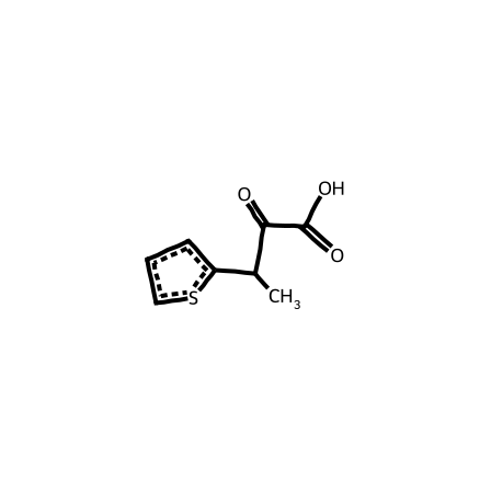 CC(C(=O)C(=O)O)c1cccs1